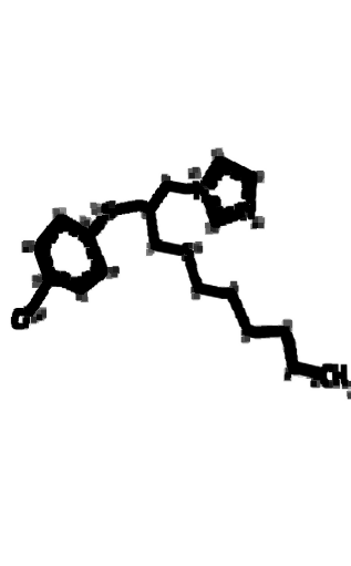 CCCCCCSCC(Cn1ccnc1)Sc1ccc(Cl)cc1